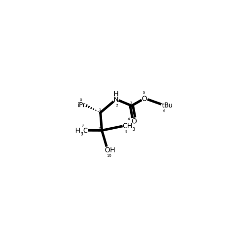 CC(C)[C@H](NC(=O)OC(C)(C)C)C(C)(C)O